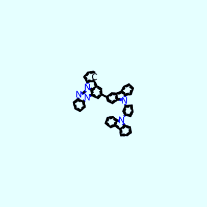 c1cc(-n2c3ccccc3c3ccccc32)cc(-n2c3ccccc3c3cc(-c4cc5c6ccccc6n6c5c(c4)n4c5ccccc5nc46)ccc32)c1